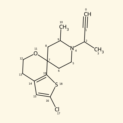 C#CC(C)N1CCC2(CC1C)OCCc1cc(Cl)sc12